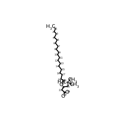 CCCCCCCCCCCCCCCCCCCCOC(CC(=O)[O-])C[N+](C)(C)C